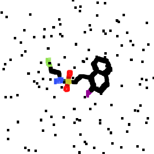 O=S(=O)(CCc1c(I)ccc2ccccc12)NCCF